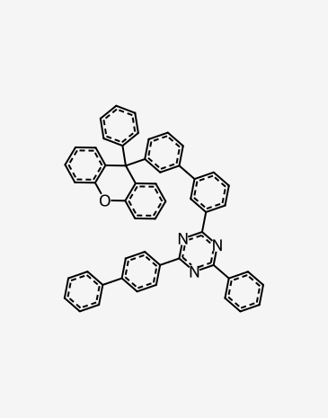 c1ccc(-c2ccc(-c3nc(-c4ccccc4)nc(-c4cccc(-c5cccc(C6(c7ccccc7)c7ccccc7Oc7ccccc76)c5)c4)n3)cc2)cc1